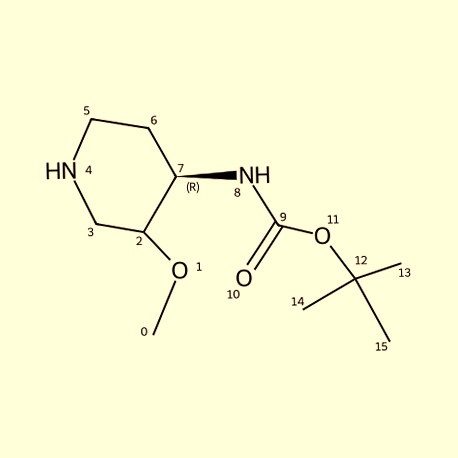 COC1CNCC[C@H]1NC(=O)OC(C)(C)C